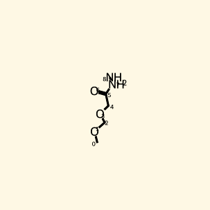 COCOCC(=O)NN